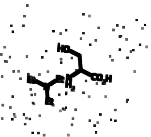 CCN(CC)CC.NC(CO)C(=O)O